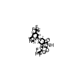 O=C1NC(=O)C2(CCN(c3cc(C(F)(F)F)cc4cncn34)CC2)N1OC(=O)C(F)(F)F